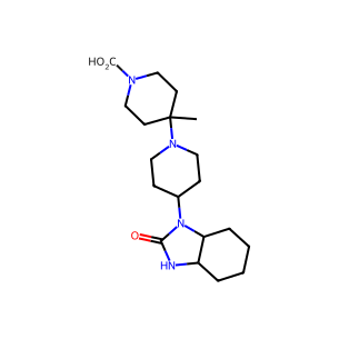 CC1(N2CCC(N3C(=O)NC4CCCCC43)CC2)CCN(C(=O)O)CC1